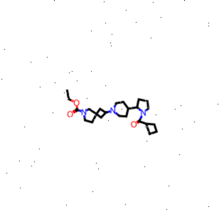 CCOC(=O)N1CCC2(CC(N3CCC(C4CCCN4C(=O)C4CCC4)CC3)C2)C1